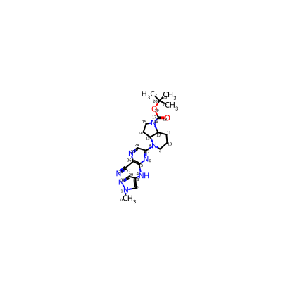 Cn1cc(Nc2nc(N3CCCC4C3CCN4C(=O)OC(C)(C)C)cnc2C#N)cn1